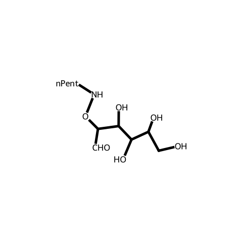 CCCCCNOC(C=O)C(O)C(O)C(O)CO